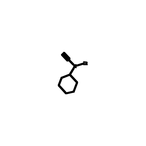 C#CN(CC)C1CCCCC1